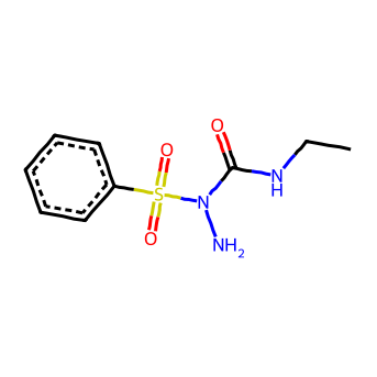 CCNC(=O)N(N)S(=O)(=O)c1ccccc1